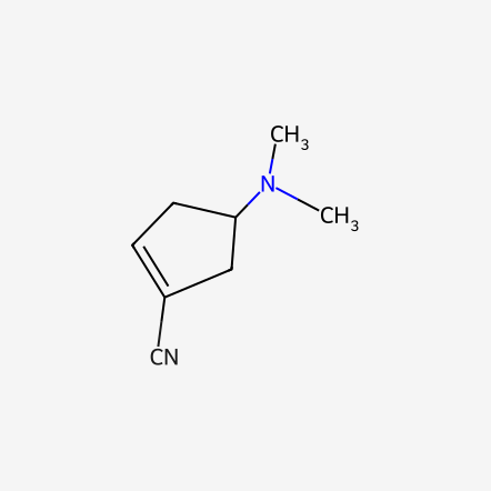 CN(C)C1CC=C(C#N)C1